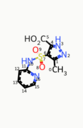 Cc1n[nH]c(C(=O)O)c1S(=O)(=O)Nc1ccccn1